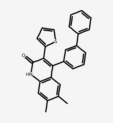 Cc1cc2[nH]c(=O)c(-c3cccs3)c(-c3cccc(-c4ccccc4)c3)c2cc1C